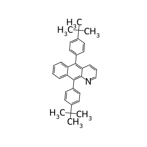 CC(C)(C)c1ccc(-c2c3ccccc3c(-c3ccc(C(C)(C)C)cc3)c3ncccc23)cc1